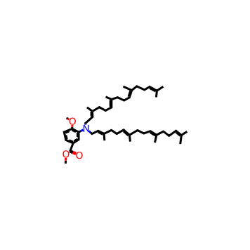 COC(=O)c1ccc(OC)c(N(C/C=C(\C)CC/C=C(\C)CC/C=C(\C)CCC=C(C)C)C/C=C(\C)CC/C=C(\C)CC/C=C(\C)CCC=C(C)C)c1